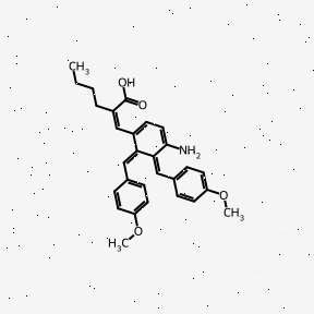 CCCCC(=Cc1ccc(N)c(=Cc2ccc(OC)cc2)c1=Cc1ccc(OC)cc1)C(=O)O